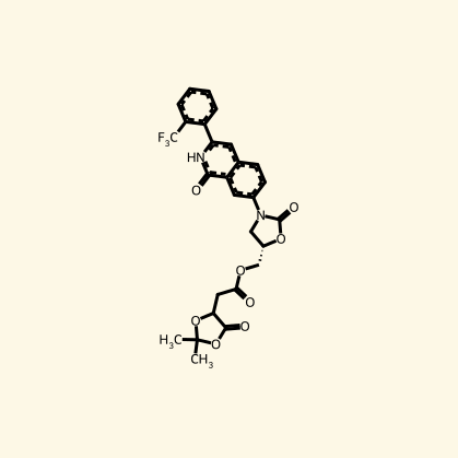 CC1(C)OC(=O)C(CC(=O)OC[C@@H]2CN(c3ccc4cc(-c5ccccc5C(F)(F)F)[nH]c(=O)c4c3)C(=O)O2)O1